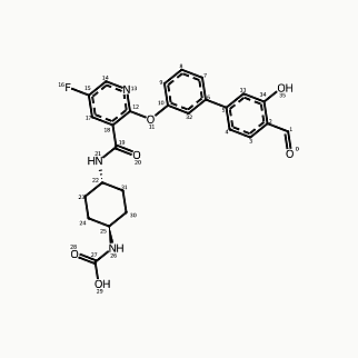 O=Cc1ccc(-c2cccc(Oc3ncc(F)cc3C(=O)N[C@H]3CC[C@H](NC(=O)O)CC3)c2)cc1O